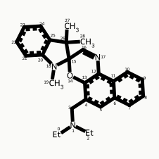 CCN(CC)Cc1cc2ccccc2c2c1OC1(C=N2)N(C)c2ccccc2C1(C)C